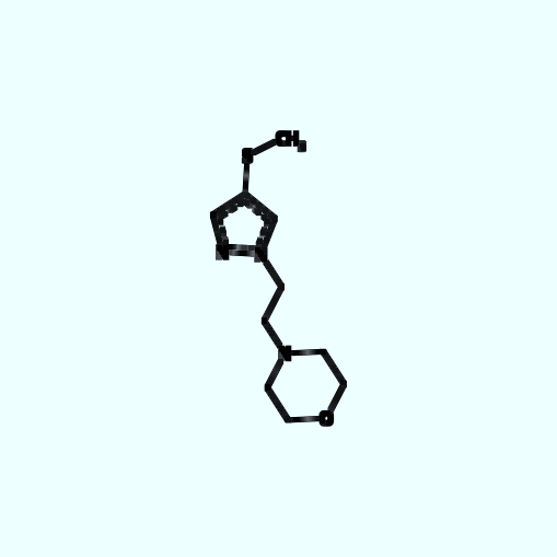 CSc1cnn(CCN2CCOCC2)c1